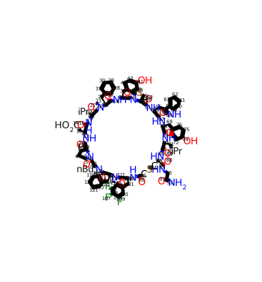 CCCC[C@H]1C(=O)N2CCC[C@@H]2C(=O)N[C@@H](CC(=O)O)C(=O)N[C@@H](C(C)C)C(=O)N(C)[C@@H](Cc2ccccc2)C(=O)N[C@@H](Cc2ccc(O)cc2)C(=O)N2CSC[C@@H]2C(=O)N[C@@H](Cc2c[nH]c3ccccc23)C(=O)N[C@@H](Cc2ccc(O)cc2)C(=O)N[C@@H](CC(C)C)C(=O)N[C@H](C(=O)NCC(N)=O)CSCC(=O)N[C@@H](Cc2cc(F)c(F)c(F)c2)C(=O)N(C)[C@@H](Cc2ccccc2)C(=O)N1C